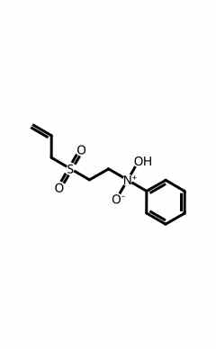 C=CCS(=O)(=O)CC[N+]([O-])(O)c1ccccc1